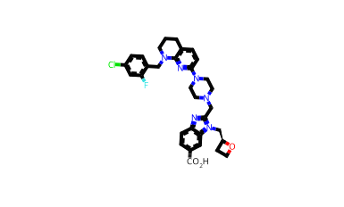 O=C(O)c1ccc2nc(CN3CCN(c4ccc5c(n4)N(Cc4ccc(Cl)cc4F)CCC5)CC3)n(C[C@@H]3CCO3)c2c1